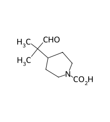 CC(C)(C=O)C1CCN(C(=O)O)CC1